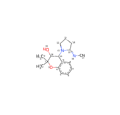 CC1(C)Oc2ccccc2C(N2CCCC2=NC#N)C1O